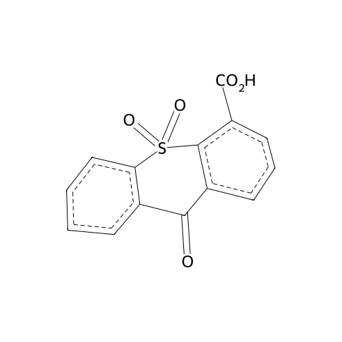 O=C(O)c1cccc2c1S(=O)(=O)c1ccccc1C2=O